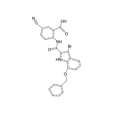 N#Cc1ccc(NC(=O)c2[nH]c3c(OCc4ccccc4)cccc3c2Br)c(C(=O)O)c1